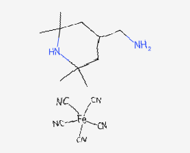 CC1(C)CC(CN)CC(C)(C)N1.N#[C][Fe]([C]#N)([C]#N)([C]#N)[C]#N